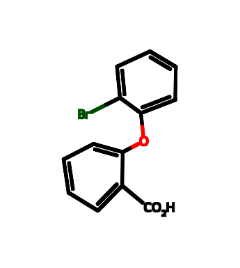 O=C(O)c1ccccc1Oc1ccccc1Br